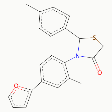 Cc1ccc(C2SCC(=O)N2c2ccc(-c3ccco3)cc2C)cc1